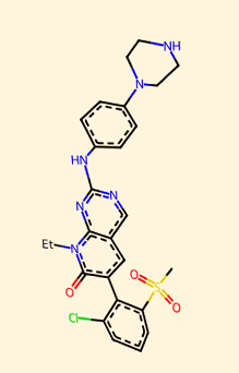 CCn1c(=O)c(-c2c(Cl)cccc2S(C)(=O)=O)cc2cnc(Nc3ccc(N4CCNCC4)cc3)nc21